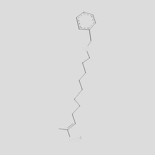 C/C(=C\CCCCCCCCOCc1ccccc1)C(=O)O